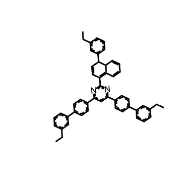 CCc1cccc(-c2ccc(-c3cc(-c4ccc(-c5cccc(CC)c5)cc4)nc(C4=C5C=CC=CC5C(c5cccc(CC)c5)C=C4)n3)cc2)c1